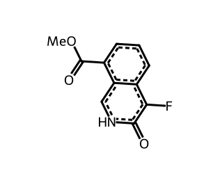 COC(=O)c1cccc2c(F)c(=O)[nH]cc12